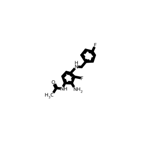 CC(=O)Nc1ccc(NCc2ccc(F)cc2)c(F)c1N